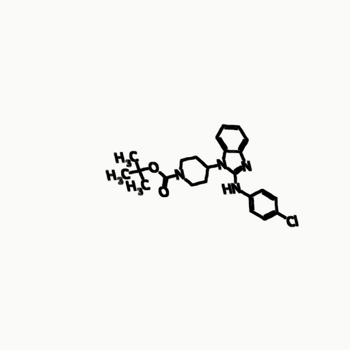 CC(C)(C)OC(=O)N1CCC(n2c(Nc3ccc(Cl)cc3)nc3ccccc32)CC1